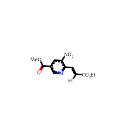 CCOC(=O)/C(=C/c1ncc(C(=O)OC)cc1[N+](=O)[O-])CC